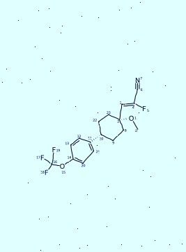 CO[C@]1(C=C(F)C#N)CC[C@H](c2ccc(OC(F)(F)F)cc2)CC1